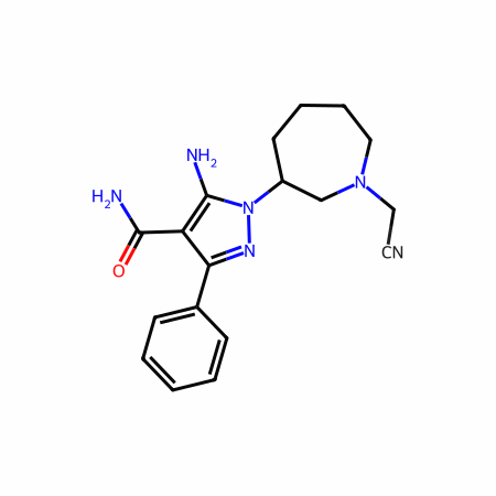 N#CCN1CCCCC(n2nc(-c3ccccc3)c(C(N)=O)c2N)C1